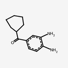 Nc1ccc(C(=O)C2CCCCC2)cc1N